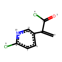 C=C(C(=O)Cl)c1ccc(Cl)nc1